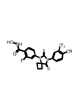 N#Cc1ccc(N2C(=O)C3(CCC3)N(c3ccc(C(=O)NO)c(F)c3)C2=S)cc1C(F)(F)F